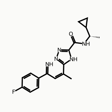 C/C(=C/C(=N)c1ccc(F)cc1)c1nnc(C(=O)N[C@@H](C)C2CC2)[nH]1